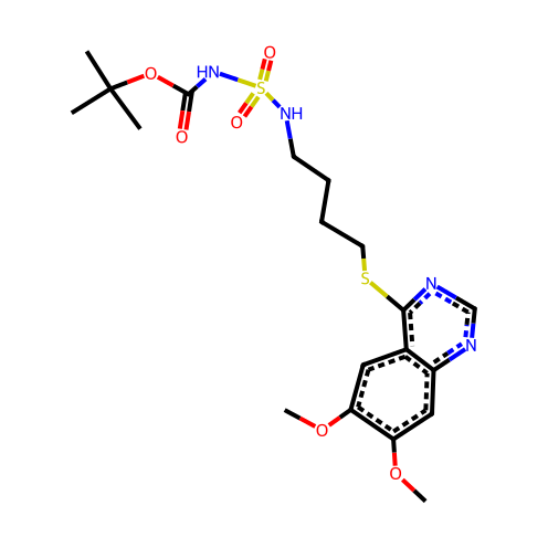 COc1cc2ncnc(SCCCCNS(=O)(=O)NC(=O)OC(C)(C)C)c2cc1OC